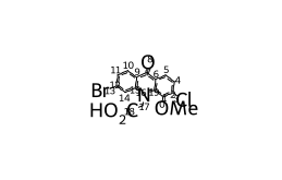 COc1c(Cl)ccc2c(=O)c3ccc(Br)cc3n(CC(=O)O)c12